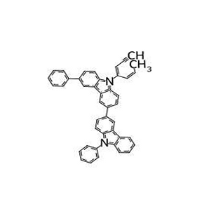 C#C/C=C(\C=C/C)n1c2ccc(-c3ccccc3)cc2c2cc(-c3ccc4c(c3)c3ccccc3n4-c3ccccc3)ccc21